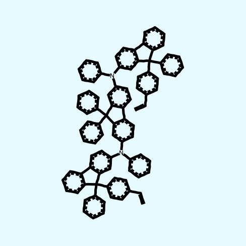 C=Cc1ccc(C2(c3ccccc3)c3ccccc3-c3ccc(N(c4ccccc4)c4ccc5c(c4)C(c4ccccc4)(c4ccccc4)c4cc(N(c6ccccc6)c6ccc7c(c6)C(c6ccccc6)(c6ccc(C=C)cc6)c6ccccc6-7)ccc4-5)cc32)cc1